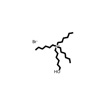 CCCCCC[N+](CCCCCC)(CCCCCC)CCCCCCO.[Br-]